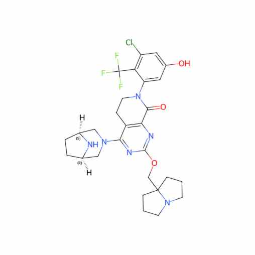 O=C1c2nc(OCC34CCCN3CCC4)nc(N3C[C@H]4CC[C@@H](C3)N4)c2CCN1c1cc(O)cc(Cl)c1C(F)(F)F